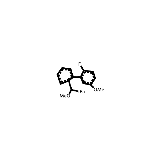 COc1ccc(F)c(-c2cc[c]cc2C(OC)C(C)(C)C)c1